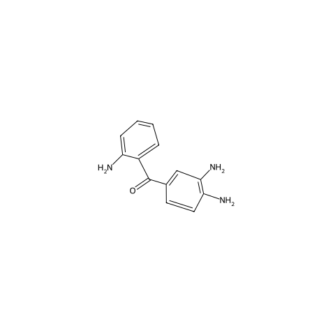 Nc1ccc(C(=O)c2ccccc2N)cc1N